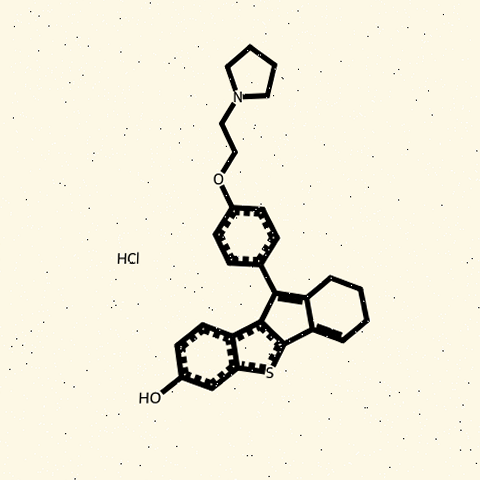 Cl.Oc1ccc2c3c(sc2c1)C1=CCCCC1=C3c1ccc(OCCN2CCCC2)cc1